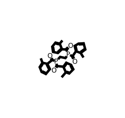 Cc1ccccc1C(=O)P(CCP(C(=O)c1ccccc1C)C(=O)c1ccccc1C)C(=O)c1ccccc1C